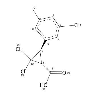 Cc1cc(Cl)cc([C@H]2[C@H](C(=O)O)C2(Cl)Cl)c1